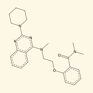 CN(C)C(=O)c1ccccc1OCCN(C)c1nc(N2CCCCC2)nc2ccccc12